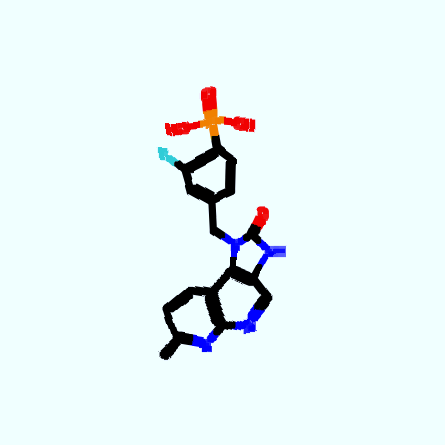 Cc1ccc2c(ncc3[nH]c(=O)n(Cc4ccc(P(=O)(O)O)c(F)c4)c32)n1